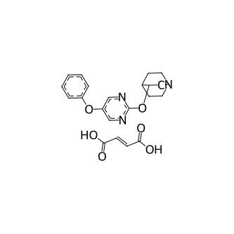 O=C(O)/C=C/C(=O)O.c1ccc(Oc2cnc(OC3CN4CCC3CC4)nc2)cc1